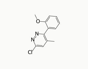 COc1ccccc1-c1nnc(Cl)cc1C